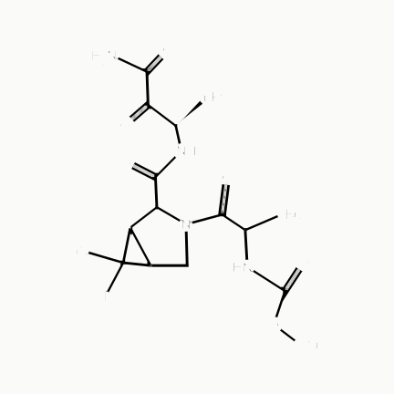 CCC[C@@H](NC(=O)C1C2C(CN1C(=O)C(NC(=O)OC(C)(C)C)C(C)(C)C)C2(Cl)Cl)C(=O)C(N)=O